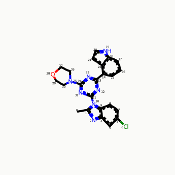 Cc1nc2cc(Cl)ccc2n1-c1nc(-c2cccc3[nH]ccc23)nc(N2CCOCC2)n1